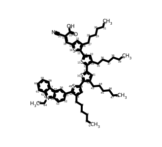 CCCCCCc1cc(-c2sc(-c3sc(-c4sc(/C=C(/C#N)C(=O)O)cc4CCCCCC)cc3CCCCCC)cc2CCCCCC)sc1-c1ccc2c(c1)c1ccccc1n2CC